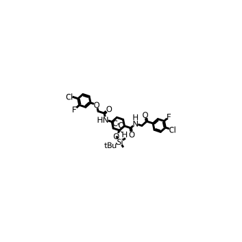 CC(C)(C)[Si](C)(C)O[C@H]1CC2(NC(=O)COc3ccc(Cl)c(F)c3)CCC1(C(=O)NCC(=O)c1ccc(Cl)c(F)c1)CC2